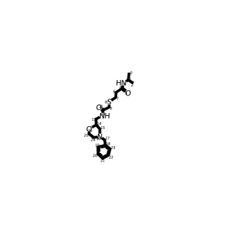 CC(C)NC(=O)CCSCC(=O)NCC1CN(Cc2ccccc2)CCO1